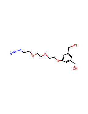 [N-]=[N+]=NCCOCCOCCOc1cc(CO)cc(CO)c1